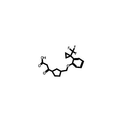 O=C(O)CC(=O)C1CCC(COc2ccccc2C2(C(F)(F)F)CC2)C1